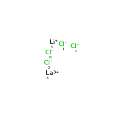 [Cl-].[Cl-].[Cl-].[Cl-].[La+3].[Li+]